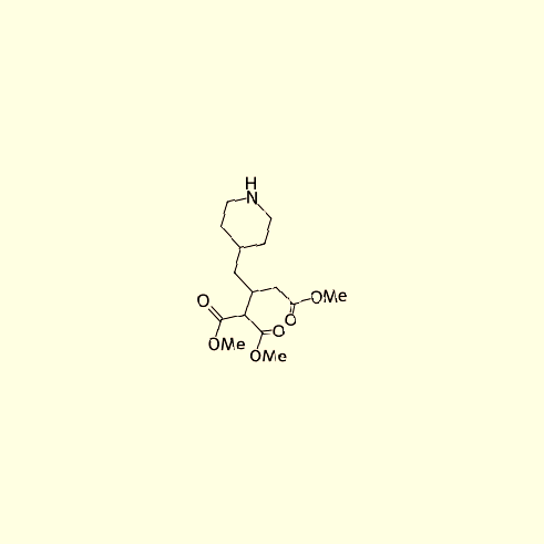 COC(=O)CC(CC1CCNCC1)C(C(=O)OC)C(=O)OC